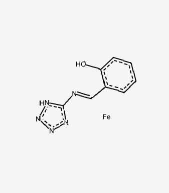 Oc1ccccc1C=Nc1nnn[nH]1.[Fe]